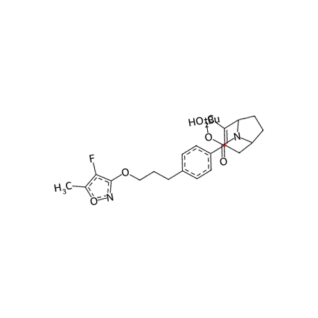 Cc1onc(OCCCc2ccc(C3=C(C(=O)O)C4CCC(C3)N4C(=O)OC(C)(C)C)cc2)c1F